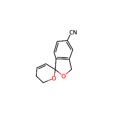 N#Cc1ccc2c(c1)COC21C=CCCO1